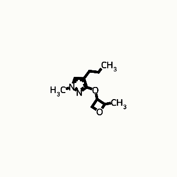 CCCc1cn(C)nc1OC1COC1C